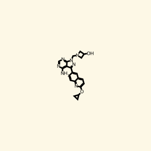 Nc1ncnc2c1c(-c1ccc3nc(OC4CC4)ccc3c1)nn2CN1CC(O)C1